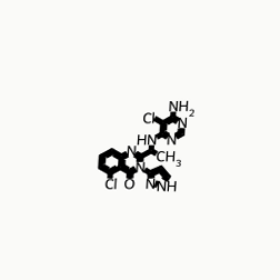 CC(Nc1ncnc(N)c1Cl)c1nc2cccc(Cl)c2c(=O)n1-c1cc[nH]n1